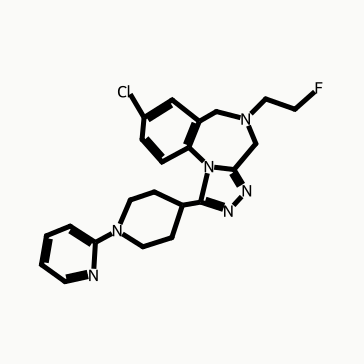 FCCN1Cc2cc(Cl)ccc2-n2c(nnc2C2CCN(c3ccccn3)CC2)C1